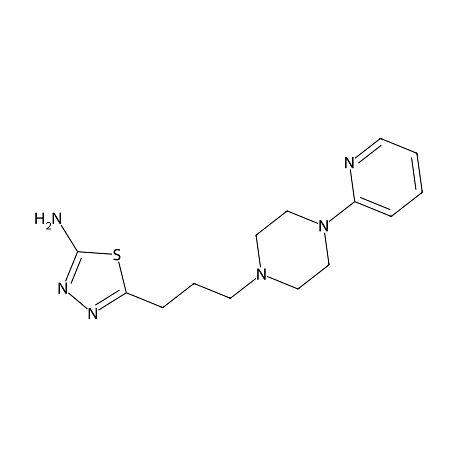 Nc1nnc(CCCN2CCN(c3ccccn3)CC2)s1